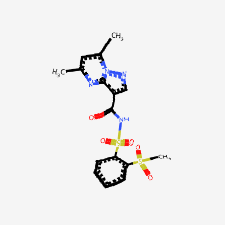 Cc1cc(C)n2ncc(C(=O)NS(=O)(=O)c3ccccc3S(C)(=O)=O)c2n1